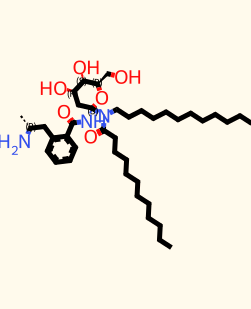 CCCCCCCCCCCCN(C(=O)CCCCCCCCCCC)[C@@]1(NC(=O)c2ccccc2C[C@@H](C)N)C[C@@H](O)[C@H](O)[C@@H](CO)O1